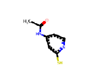 CC(=O)Nc1ccnc(S)c1